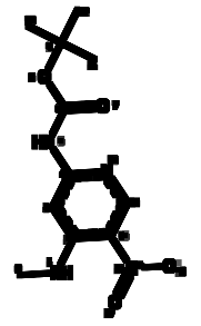 CNc1cc(NC(=O)OC(C)(C)C)ncc1[N+](=O)[O-]